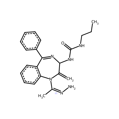 C=C1C(NC(=O)NCCC)N=C(c2ccccc2)c2ccccc2N1/C(C)=N\N